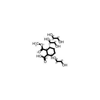 COC(=O)C1CCCCC1C(=O)O.OCCO.OCCO.OCCO